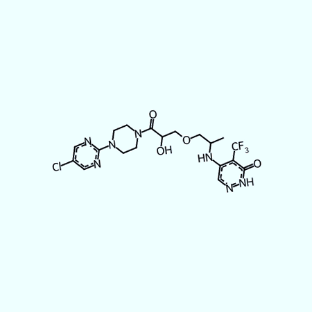 CC(COCC(O)C(=O)N1CCN(c2ncc(Cl)cn2)CC1)Nc1cn[nH]c(=O)c1C(F)(F)F